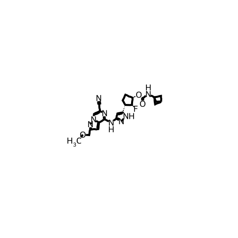 COCc1cc2c(Nc3cc([C@@H]4CC[C@H](OC(=O)NC56CC(C5)C6)[C@@H]4F)[nH]n3)nc(C#N)cn2n1